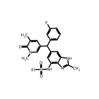 CCS(=O)(=O)Nc1cc(C(c2cccc(F)c2)c2cc(C)c(=O)n(C)c2)cc2[nH]c(C)nc12